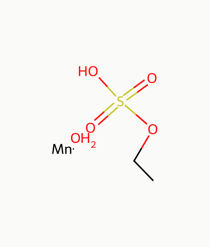 CCOS(=O)(=O)O.O.[Mn]